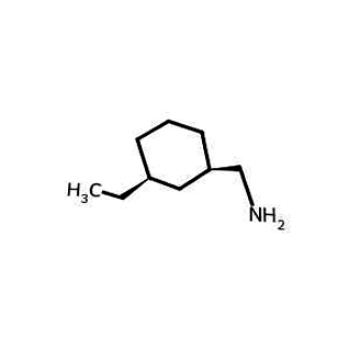 CC[C@H]1CCC[C@@H](CN)C1